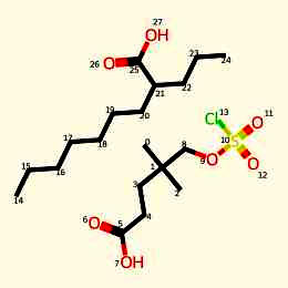 CC(C)(CCC(=O)O)COS(=O)(=O)Cl.CCCCCCCC(CCC)C(=O)O